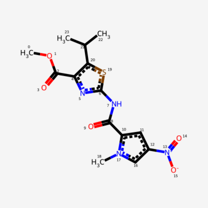 COC(=O)c1nc(NC(=O)c2cc([N+](=O)[O-])cn2C)sc1C(C)C